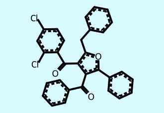 O=C(c1ccc(Cl)cc1Cl)c1c(Cc2ccccc2)oc(-c2ccccc2)c1C(=O)c1ccccc1